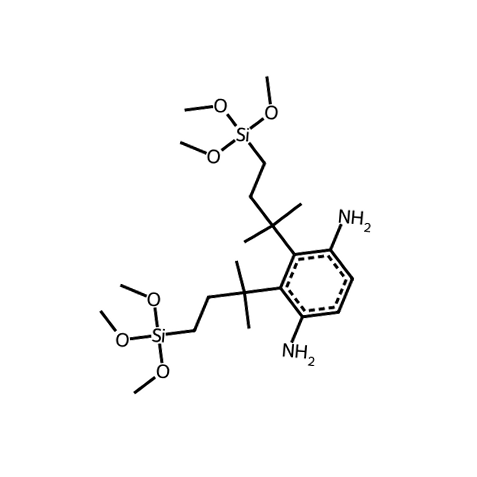 CO[Si](CCC(C)(C)c1c(N)ccc(N)c1C(C)(C)CC[Si](OC)(OC)OC)(OC)OC